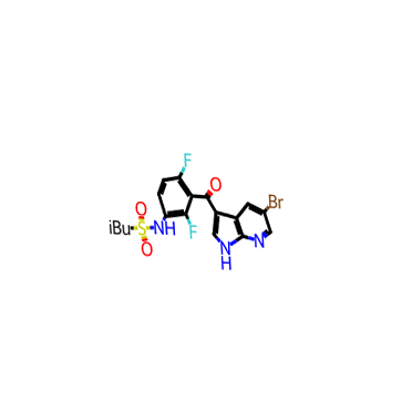 CCC(C)S(=O)(=O)Nc1ccc(F)c(C(=O)c2c[nH]c3ncc(Br)cc23)c1F